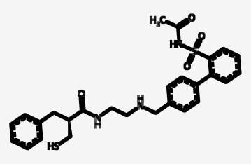 CC(=O)NS(=O)(=O)c1ccccc1-c1ccc(CNCCNC(=O)[C@@H](CS)Cc2ccccc2)cc1